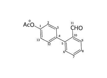 CC(=O)Oc1ccc(-c2ccccc2C=O)cc1